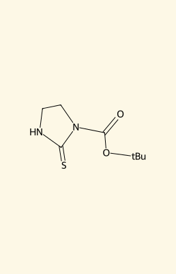 CC(C)(C)OC(=O)N1CCNC1=S